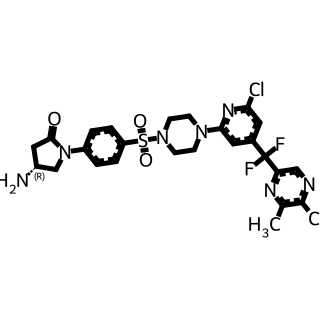 Cc1nc(C(F)(F)c2cc(Cl)nc(N3CCN(S(=O)(=O)c4ccc(N5C[C@H](N)CC5=O)cc4)CC3)c2)cnc1Cl